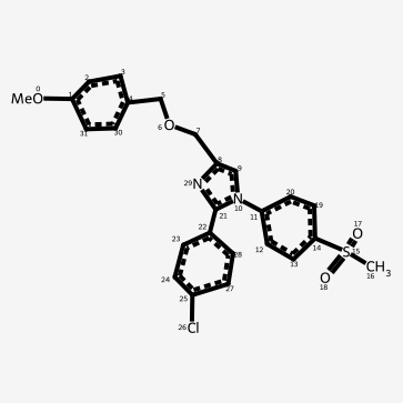 COc1ccc(COCc2cn(-c3ccc(S(C)(=O)=O)cc3)c(-c3ccc(Cl)cc3)n2)cc1